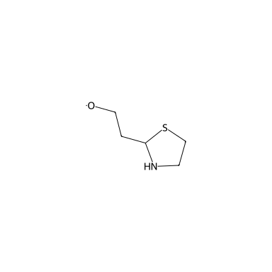 [O]CCC1NCCS1